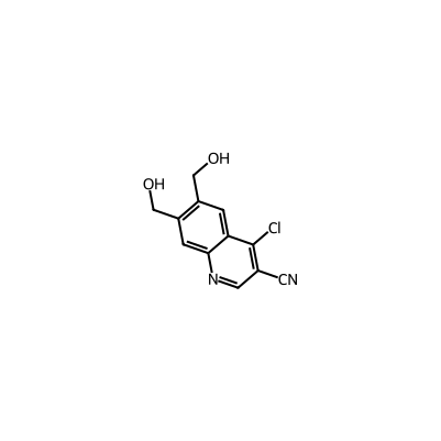 N#Cc1cnc2cc(CO)c(CO)cc2c1Cl